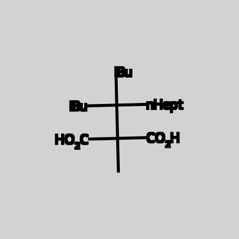 CCCCCCCC(C(C)CC)(C(C)CC)C(C)(C(=O)O)C(=O)O